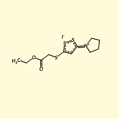 CCOC(=O)CSc1cc(=[N+]2CCCC2)ss1.[I-]